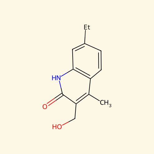 CCc1ccc2c(C)c(CO)c(=O)[nH]c2c1